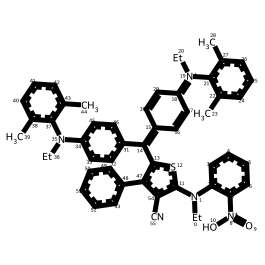 CCN(c1ccccc1[N+](=O)O)c1sc(C(=C2C=CC(=[N+](CC)c3c(C)cccc3C)C=C2)c2ccc(N(CC)c3c(C)cccc3C)cc2)c(-c2ccccc2)c1C#N